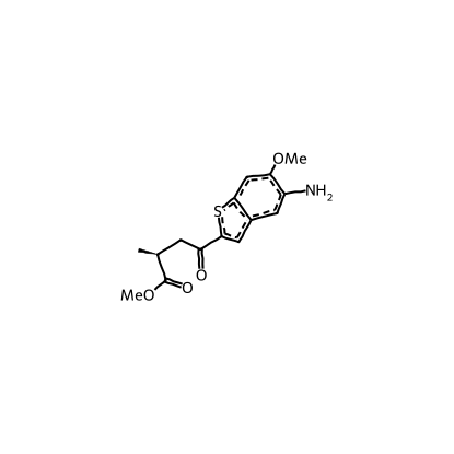 COC(=O)[C@@H](C)CC(=O)c1cc2cc(N)c(OC)cc2s1